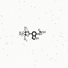 CC1(C)OB(c2ccc(NC(=O)O)c3[nH]ccc23)OC1(C)C